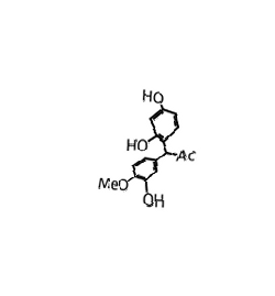 COc1ccc(C(C(C)=O)c2ccc(O)cc2O)cc1O